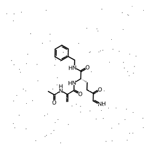 C=C(NC(C)=O)C(=O)N[C@@H](CCC(=O)C=N)C(=O)NCc1ccccc1